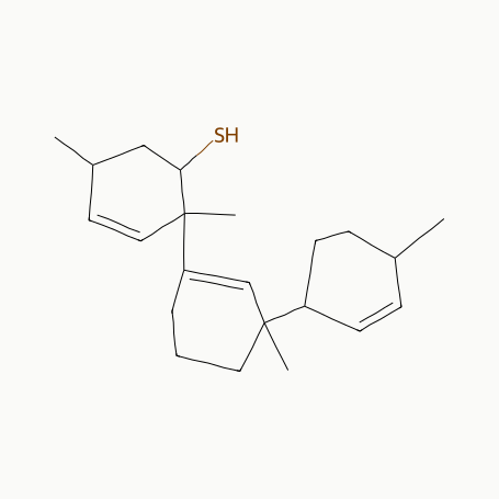 CC1C=CC(C2(C)C=C(C3(C)C=CC(C)CC3S)CCC2)CC1